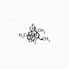 C=CC(C)CC(C)(C)C(CF)C(C)(C)CC(C)(C)C=C